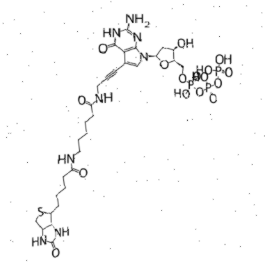 Nc1nc2c(c(C#CCNC(=O)CCCCCNC(=O)CCCCC3SCC4NC(=O)NC43)cn2[C@H]2C[C@@H](O)[C@@H](COP(=O)(O)OP(=O)(O)OP(=O)(O)O)O2)c(=O)[nH]1